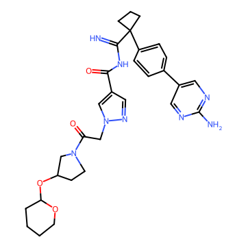 N=C(NC(=O)c1cnn(CC(=O)N2CCC(OC3CCCCO3)C2)c1)C1(c2ccc(-c3cnc(N)nc3)cc2)CCC1